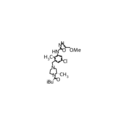 CC[C@H](C)C(=O)N1CCN(Cc2cc(Cl)cc(Nc3nnc(COC)o3)c2C)C[C@@H]1C